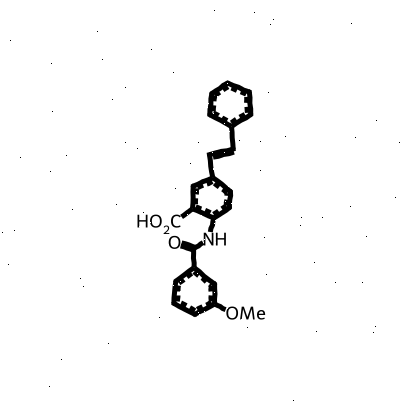 COc1cccc(C(=O)Nc2ccc(C=Cc3ccccc3)cc2C(=O)O)c1